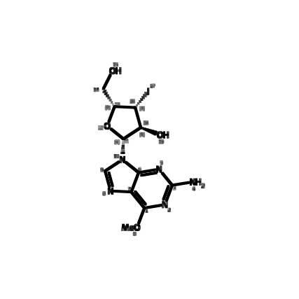 COc1nc(N)nc2c1ncn2[C@@H]1O[C@H](CO)[C@H](I)[C@H]1O